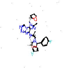 Cc1nc2c(N3C[C@@H]([C@@H](C)O)N(C(c4ccc(F)cc4)c4ccc(F)cc4)C[C@@H]3C)nc3nncn3c2n1C[C@@H]1CCCO1